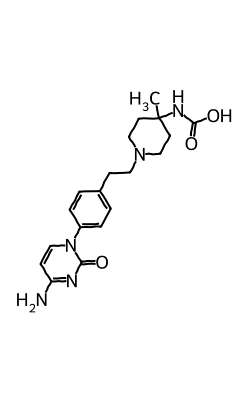 CC1(NC(=O)O)CCN(CCc2ccc(-n3ccc(N)nc3=O)cc2)CC1